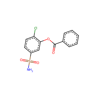 NS(=O)(=O)c1ccc(Cl)c(OC(=O)c2ccccc2)c1